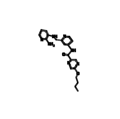 CCCCOc1cnc(C(=O)Nc2ccnc(CNc3cccnc3N)c2)cn1